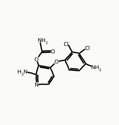 NC(=O)Oc1c(Oc2ccc(N)c(Cl)c2Cl)ccnc1N